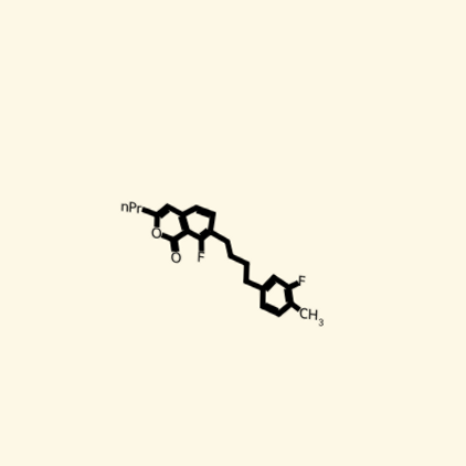 CCCc1cc2ccc(CCCCc3ccc(C)c(F)c3)c(F)c2c(=O)o1